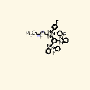 C=C/C=C(F)\C=C/Cc1nc(-c2ccc(F)cc2)nc(-c2cc(-c3nc4ccccc4n3-c3ccccc3F)cc(-c3nc4ccccc4n3-c3ccccc3F)c2)n1